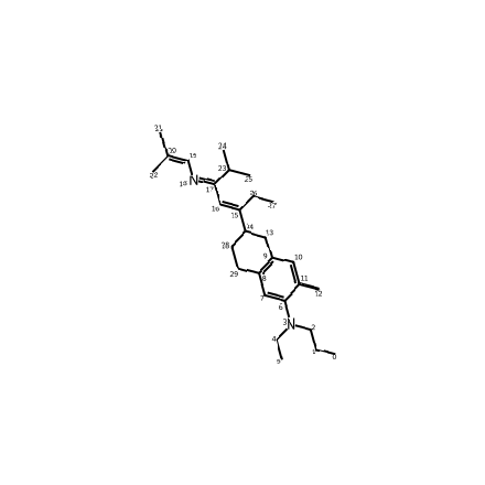 CCCN(CC)c1cc2c(cc1C)CC(/C(=C/C(=N/C=C(C)C)C(C)C)CC)CC2